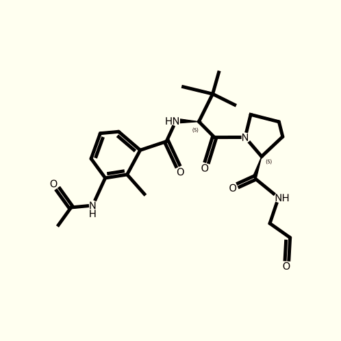 CC(=O)Nc1cccc(C(=O)N[C@H](C(=O)N2CCC[C@H]2C(=O)NCC=O)C(C)(C)C)c1C